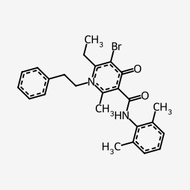 CCc1c(Br)c(=O)c(C(=O)Nc2c(C)cccc2C)c(C)n1CCc1ccccc1